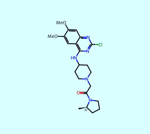 COc1cc2nc(Cl)nc(NC3CCN(CC(=O)N4CCC[C@H]4C)CC3)c2cc1OC